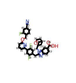 N#Cc1ccc(COc2cccc(-c3cc(F)c(Cc4nc5ccc(C(=O)O)cc5n4CC45CC(CCO4)C5)cc3F)n2)c(F)c1